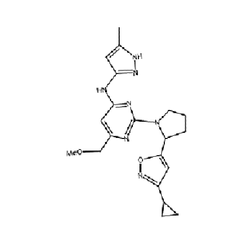 COCc1cc(Nc2cc(C)[nH]n2)nc(N2CCCC2c2cc(C3CC3)no2)n1